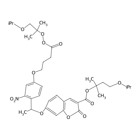 CC(C)OCCC(C)(C)OC(=O)c1cc2ccc(OC(C)c3ccc(OCCCC(=O)OOC(C)(C)COC(C)C)cc3[N+](=O)[O-])cc2oc1=O